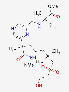 CNNC(=O)C(C)(CCCC(C)(C)CS(=O)(=O)CCO)c1cncc(CNC(C)(C)C(=O)OC)n1